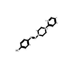 N#Cc1ccc(/N=N/N2CCN(c3ccccn3)CC2)cc1